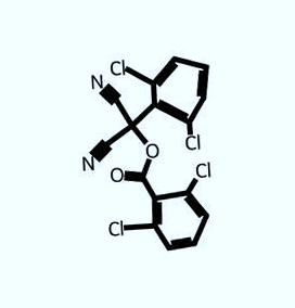 N#CC(C#N)(OC(=O)c1c(Cl)cccc1Cl)c1c(Cl)cccc1Cl